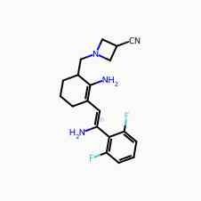 N#CC1CN(CC2CCCC(/C=C(\N)c3c(F)cccc3F)=C2N)C1